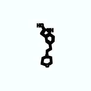 Oc1cc2cc(CCN3CCOCC3)ccc2[nH]1